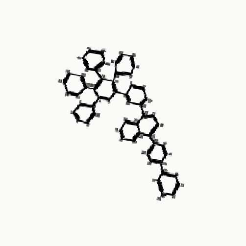 c1ccc(-c2cc(-c3cccc(-c4ccc(-c5ccc(-c6cccnc6)cc5)c5ccccc45)c3)c(-c3ccccc3)c(-c3ccccc3)c2-c2ccccc2)cc1